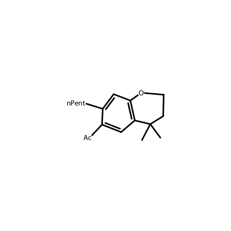 CCCCCc1cc2c(cc1C(C)=O)C(C)(C)CCO2